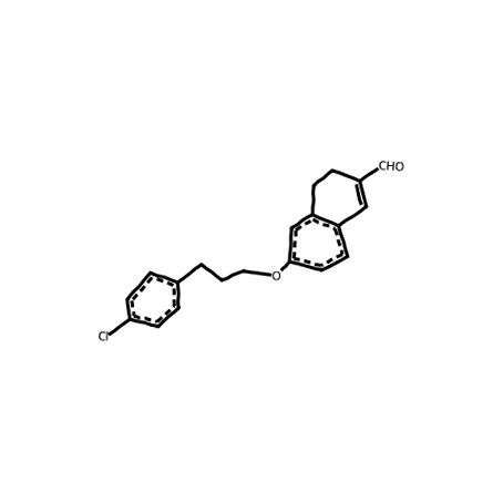 O=CC1=Cc2ccc(OCCCc3ccc(Cl)cc3)cc2CC1